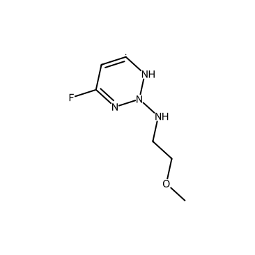 COCCNN1N=C(F)C=[C]N1